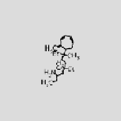 C=CC(N)CC(C)(CC)CCC(C)(CC)C1CC=CC=CC1=C